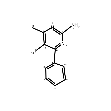 Cc1nc(N)nc(-c2ccccc2)c1I